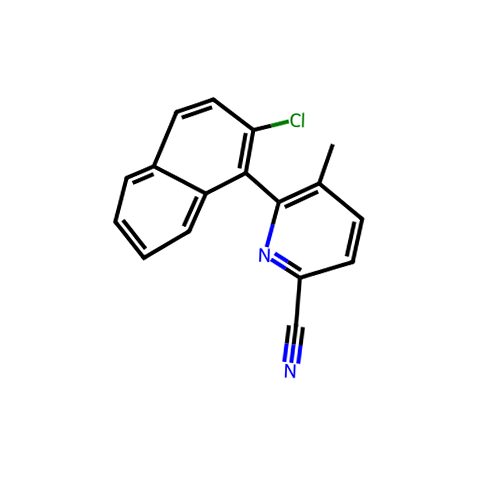 Cc1ccc(C#N)nc1-c1c(Cl)ccc2ccccc12